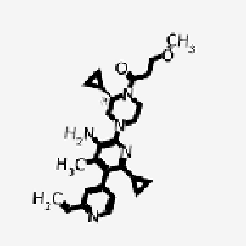 C=Cc1cc(-c2c(C3CC3)nc(N3CCN(C(=O)CCOC)[C@H](C4CC4)C3)c(N)c2C)ccn1